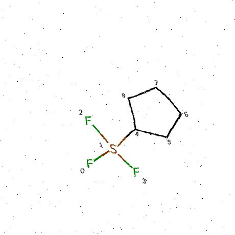 FS(F)(F)C1CCCC1